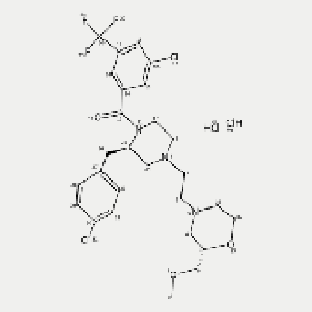 COC[C@@H]1CN(CCN2CCN(C(=O)c3cc(Cl)cc(C(F)(F)F)c3)[C@H](Cc3ccc(Cl)cc3)C2)CCO1.Cl.Cl